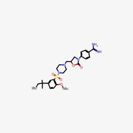 CCCCOc1ccc(C(C)(C)CC(C)(C)C)cc1S(=O)(=O)N1CCN(CC2CN(c3ccc(C(=N)N)cc3)C(=O)O2)CC1